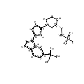 CS(=O)(=O)NC[C@@H]1CN(c2nc(-c3cnc4ccc(C(F)(F)F)cn34)cs2)CCO1